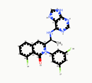 C[C@H](Nc1ncnc2[nH]cnc12)c1cc2cccc(F)c2c(=O)n1-c1cc(F)cc(F)c1